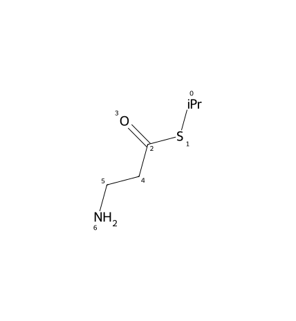 CC(C)SC(=O)CCN